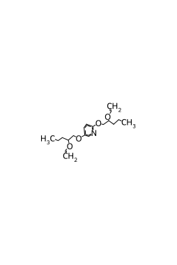 C=COC(CCC)COc1ccc(OCC(CCC)OC=C)nc1